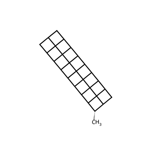 C[C@H]1C2CC3C4C5C6C7C8C9CC%10CC%11C%12C%13C%14C%15C%16C1C32C4%16C5%15C6%14C7%13C8%12C%109%11